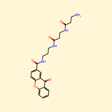 NCCC(=O)NCCC(=O)NCCCNC(=O)c1ccc2oc3ccccc3c(=O)c2c1